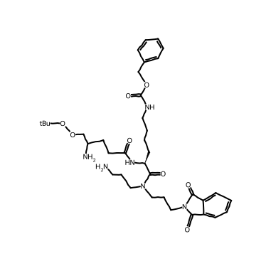 CC(C)(C)OOCC(N)CCC(=O)N[C@@H](CCCCNC(=O)OCc1ccccc1)C(=O)N(CCCN)CCCN1C(=O)c2ccccc2C1=O